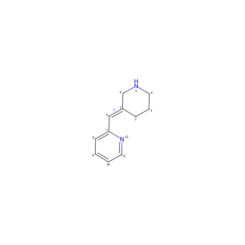 C(=C1/CCCNC1)/c1ccccn1